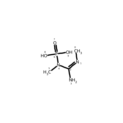 CN=C(N)N(C)P(=O)(O)O